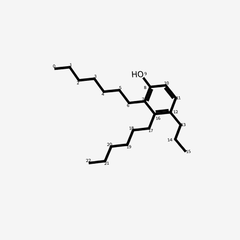 CCCCCCCc1c(O)ccc(CCC)c1CCCCCC